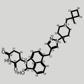 CC1(CN2CCC(C)(n3cc(Cc4ccc5c6c(cccc46)C(O)N5C4CCC(=O)NC4=O)cn3)CC2)CCC1